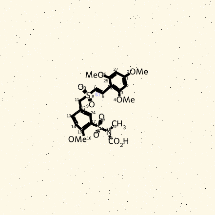 COc1cc(OC)c(/C=C/S(=O)(=O)Cc2ccc(OC)c(S(=O)(=O)N(C)C(=O)O)c2)c(OC)c1